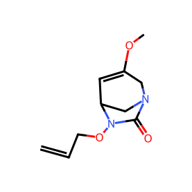 C=CCON1C(=O)N2CC(OC)=CC1C2